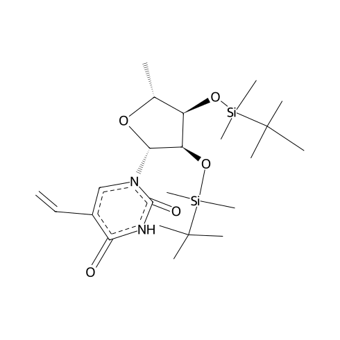 C=Cc1cn([C@@H]2O[C@H](C)[C@@H](O[Si](C)(C)C(C)(C)C)[C@H]2O[Si](C)(C)C(C)(C)C)c(=O)[nH]c1=O